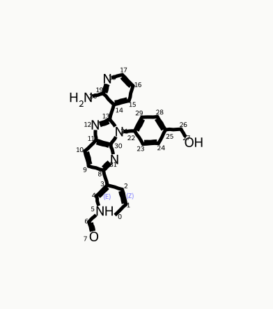 C/C=C\C(=C/NC=O)c1ccc2nc(-c3cccnc3N)n(-c3ccc(CO)cc3)c2n1